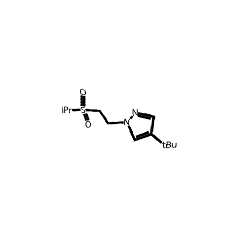 CC(C)S(=O)(=O)CCn1cc(C(C)(C)C)cn1